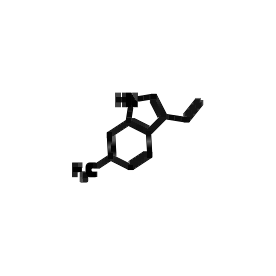 C=Cc1c[nH]c2cc(C(F)(F)F)ccc12